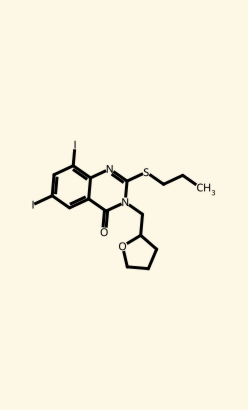 CCCSc1nc2c(I)cc(I)cc2c(=O)n1CC1CCCO1